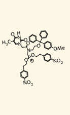 COc1ccc(C(OCCN(CP(=O)(OCCc2ccc([N+](=O)[O-])cc2)OCCc2ccc([N+](=O)[O-])cc2)C(=O)Cn2cc(C)c(=O)[nH]c2=O)(c2ccccc2)c2ccccc2)cc1